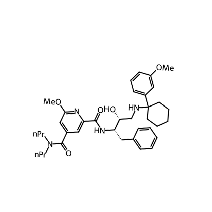 CCCN(CCC)C(=O)c1cc(OC)nc(C(=O)N[C@@H](Cc2ccccc2)[C@H](O)CNC2(c3cccc(OC)c3)CCCCC2)c1